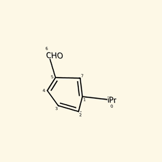 CC(C)c1[c]ccc(C=O)c1